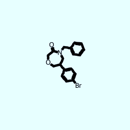 O=C1COCC(c2ccc(Br)cc2)CN1Cc1ccccc1